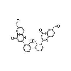 O=Cc1ccc2nc(-c3cccc(-c4cccc(-c5cc(=O)n6cc(C=O)ccc6n5)c4Cl)c3Cl)cc(=O)n2c1